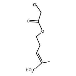 CC(=CCCOC(=O)CCl)C(=O)O